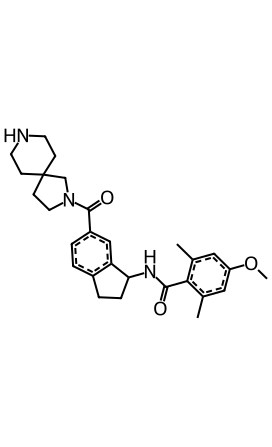 COc1cc(C)c(C(=O)NC2CCc3ccc(C(=O)N4CCC5(CCNCC5)C4)cc32)c(C)c1